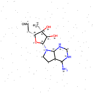 COC[C@H]1O[C@@H](N2CCC3C(N)NCNC32)C(O)[C@]1(C)O